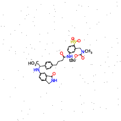 CN(Cc1cc(NC(=O)CCCc2ccc(C(Nc3ccc4c(c3)C(=O)NC4)C(=O)O)cc2)ccc1[SH](=O)=O)C(=O)OC(C)(C)C